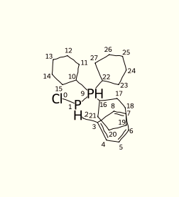 Cl/[PH](=C/c1ccccc1)[PH](C1CCCCC1)(C1CCCCC1)C1CCCCC1